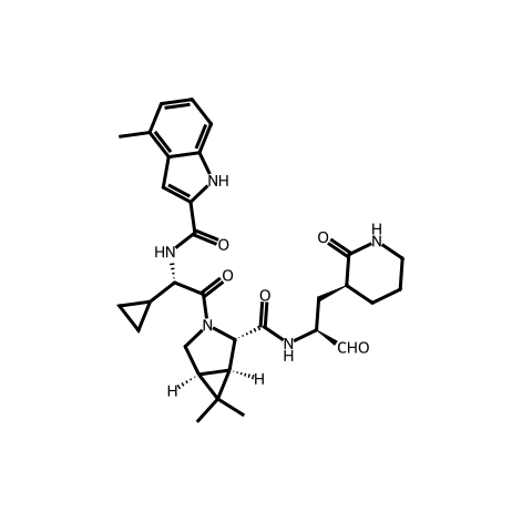 Cc1cccc2[nH]c(C(=O)N[C@H](C(=O)N3C[C@H]4[C@@H]([C@H]3C(=O)N[C@H](C=O)C[C@@H]3CCCNC3=O)C4(C)C)C3CC3)cc12